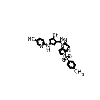 CCC1CC(Nc2ccc(C#N)cn2)CC1c1nnc2cnc3c(ccn3S(=O)(=O)c3ccc(C)cc3)n12